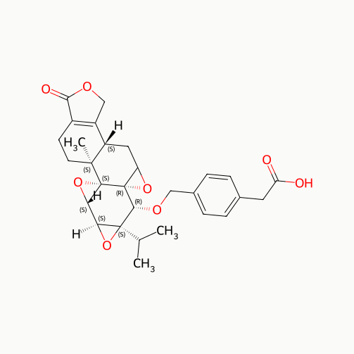 CC(C)[C@]12O[C@H]1[C@@H]1O[C@@]13[C@@]1(C)CCC4=C(COC4=O)[C@@H]1CC1O[C@@]13[C@@H]2OCc1ccc(CC(=O)O)cc1